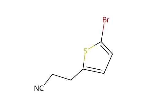 N#CCCc1ccc(Br)s1